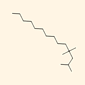 CCCCCCCCCCC(C)(C)C[C](C)C